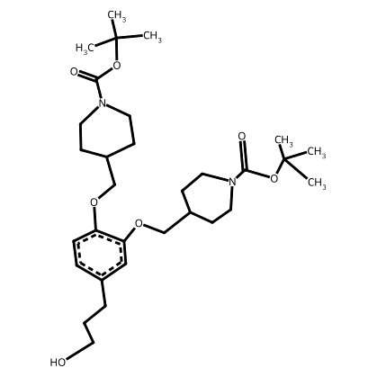 CC(C)(C)OC(=O)N1CCC(COc2ccc(CCCO)cc2OCC2CCN(C(=O)OC(C)(C)C)CC2)CC1